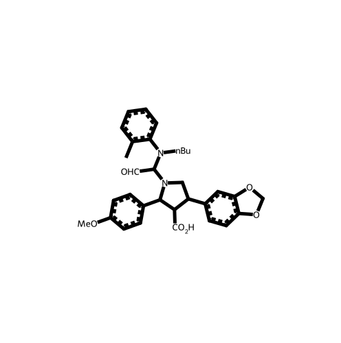 CCCCN(c1ccccc1C)C(C=O)N1CC(c2ccc3c(c2)OCO3)C(C(=O)O)C1c1ccc(OC)cc1